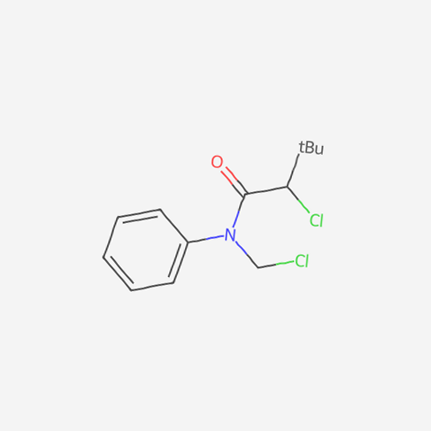 CC(C)(C)C(Cl)C(=O)N(CCl)c1ccccc1